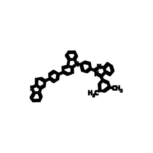 Cc1cc(C)cc(-c2nc(-c3ccc(-n4c5ccccc5c5cc(-c6ccc(-c7ccc8sc9ccccc9c8c7)cc6)ccc54)cc3)nc3ccccc23)c1